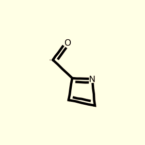 O=[C]C1=NC=C1